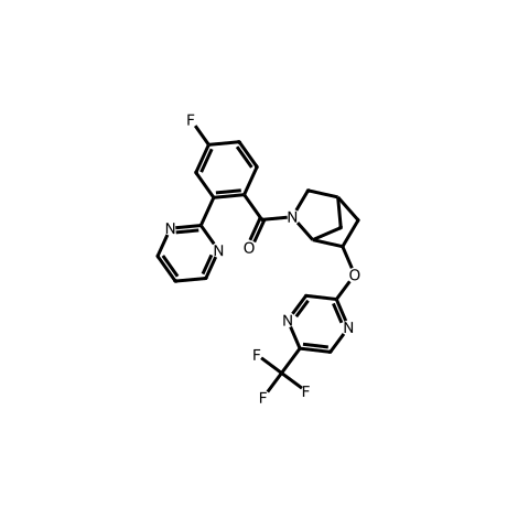 O=C(c1ccc(F)cc1-c1ncccn1)N1CC2CC(Oc3cnc(C(F)(F)F)cn3)C1C2